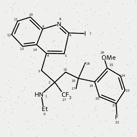 CCNC(Cc1cc(I)nc2ccccc12)(CC(C)(C)c1cc(F)ccc1OC)C(F)(F)F